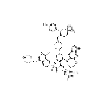 CC1(C)CCC(CN2CCN(c3ccc(C(=O)NS(=O)(=O)c4ccc(NCC5CCOCC5)c([N+](=O)[O-])c4)c(N4CC(C(C)(C)C(F)(F)F)COc5nc6[nH]ccc6cc54)c3)CC2)=C(c2ccc(Cl)cc2)C1